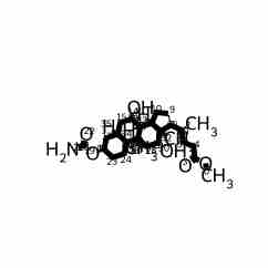 COC(=O)CC[C@@H](C)[C@H]1CC[C@H]2[C@@H]3[C@H](O)C[C@@H]4C[C@H](OC(N)=O)CC[C@]4(C)[C@H]3C[C@H](O)[C@]12C